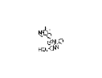 Cn1ccc(-c2cc(C(=O)Nc3c(-c4ccccc4)nn4ccc(C(C)(C)O)cc34)ccc2C(F)(F)F)n1